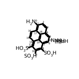 Nc1ccc2ccc3c(S(=O)(=O)O)c(S(=O)(=O)O)c(S(=O)(=O)O)c4ccc1c2c34.[NaH].[NaH].[NaH]